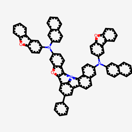 c1ccc(-c2cc3c4ccc5cc(N(c6ccc7ccccc7c6)c6ccc7oc8ccccc8c7c6)ccc5c4n4c3c(c2)c2oc3cc(N(c5ccc6ccccc6c5)c5ccc6oc7ccccc7c6c5)ccc3c24)cc1